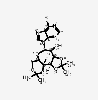 CC1(C)OCC2O[C@@H](n3cnc4c(Cl)ncnc43)C(O)C3OC(C)(C)O[C@H]3[C@@H]2O1